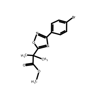 COC(=O)C(C)(C)c1nc(-c2ccc(Br)cc2)no1